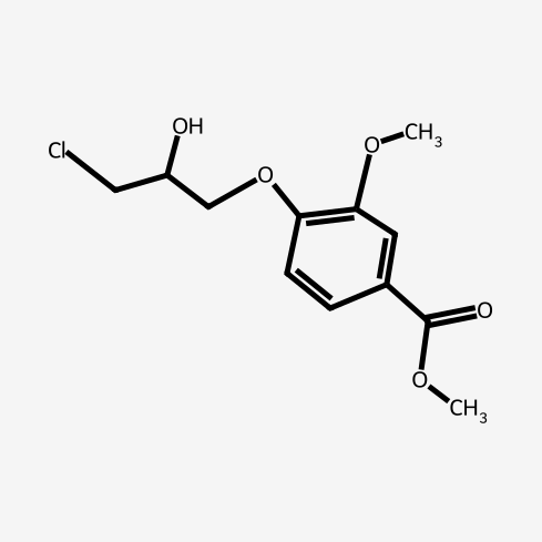 COC(=O)c1ccc(OCC(O)CCl)c(OC)c1